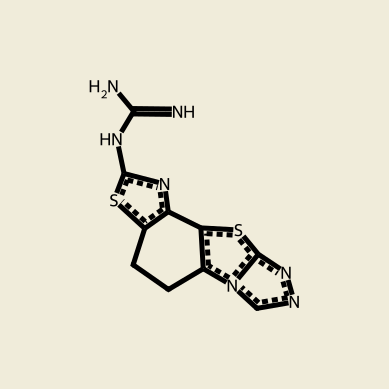 N=C(N)Nc1nc2c(s1)CCc1c-2sc2nncn12